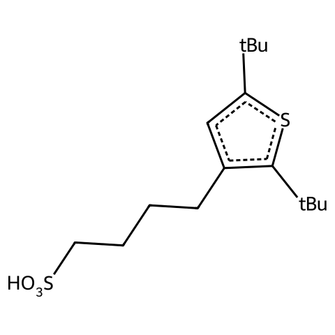 CC(C)(C)c1cc(CCCCS(=O)(=O)O)c(C(C)(C)C)s1